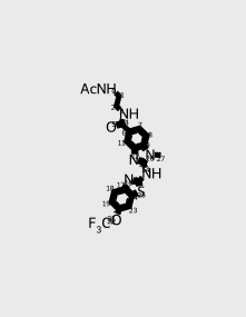 CC(=O)NCCNC(=O)c1ccc2c(c1)nc(Nc1nc3ccc(OC(F)(F)F)cc3s1)n2C